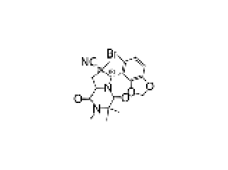 CN1C(=O)C2C[C@](C)(C#N)[C@H](c3c(Br)ccc4c3OCO4)N2C(=O)C1(C)C